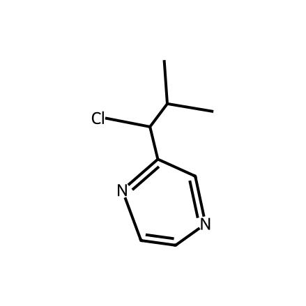 CC(C)C(Cl)c1cnccn1